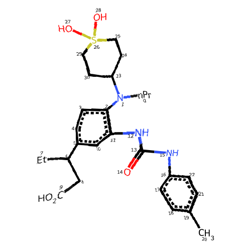 CCCN(c1ccc(C(CC)CC(=O)O)cc1NC(=O)Nc1ccc(C)cc1)C1CCS(O)(O)CC1